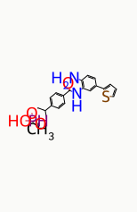 C[PH]1(O)OCC(c2ccc(C(=O)Nc3cc(-c4cccs4)ccc3N)cc2)CO1